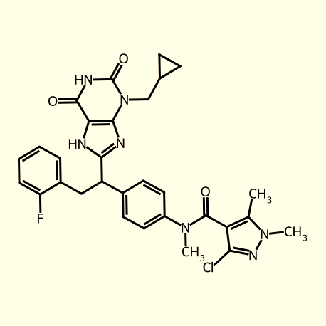 Cc1c(C(=O)N(C)c2ccc(C(Cc3ccccc3F)c3nc4c([nH]3)c(=O)[nH]c(=O)n4CC3CC3)cc2)c(Cl)nn1C